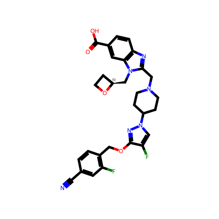 N#Cc1ccc(COc2nn(C3CCN(Cc4nc5ccc(C(=O)O)cc5n4C[C@@H]4CCO4)CC3)cc2F)c(F)c1